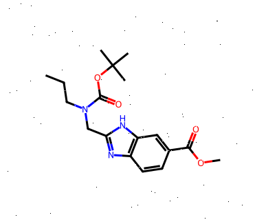 CCCN(Cc1nc2ccc(C(=O)OC)cc2[nH]1)C(=O)OC(C)(C)C